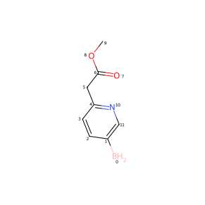 Bc1ccc(CC(=O)OC)nc1